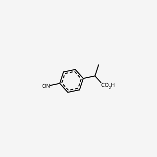 CC(C(=O)O)c1ccc(N=O)cc1